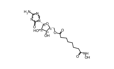 Nc1ncn([C@@H]2O[C@H](COC(=O)CCCCCCC(=O)NO)[C@@H](O)[C@H]2O)c(=O)n1